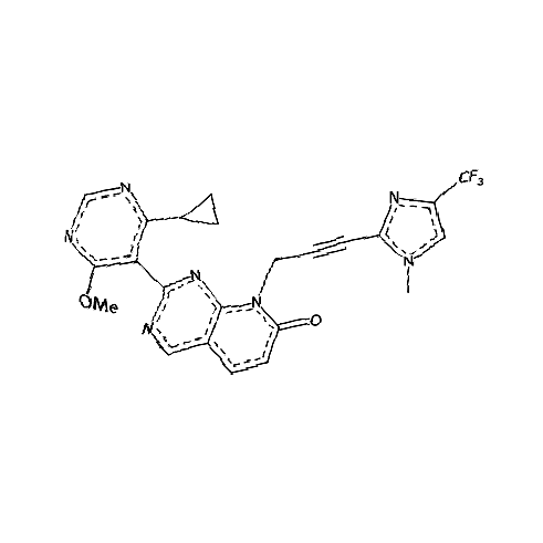 COc1ncnc(C2CC2)c1-c1ncc2ccc(=O)n(CC#Cc3nc(C(F)(F)F)cn3C)c2n1